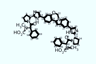 CN(C(=O)O)[C@@H](C(=O)N1CCC[C@H]1c1ncc(-c2ccc3c(c2)OCn2c-3cc3cc(-c4cnc([C@@H]5CCCN5C(=O)[C@@H](c5ccccc5)N(C)C(=O)O)[nH]4)ccc32)[nH]1)c1ccccc1